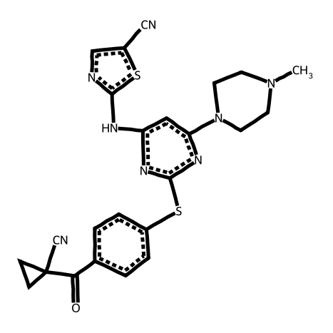 CN1CCN(c2cc(Nc3ncc(C#N)s3)nc(Sc3ccc(C(=O)C4(C#N)CC4)cc3)n2)CC1